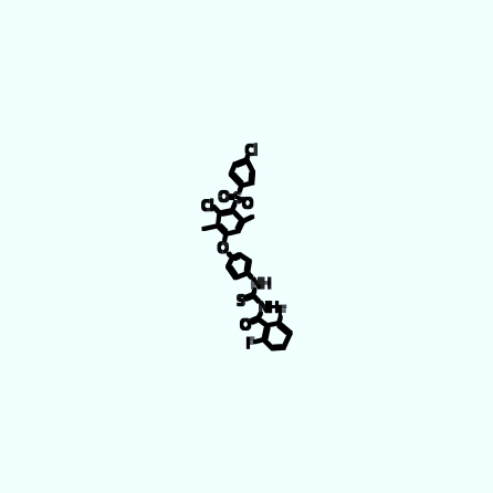 Cc1cc(Oc2ccc(NC(=S)NC(=O)c3c(F)cccc3F)cc2)c(C)c(Cl)c1S(=O)(=O)c1ccc(Cl)cc1